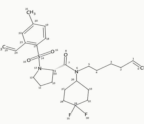 C=CCCCCN(C(=O)[C@@H]1CCCN1S(=O)(=O)c1ccc(C)cc1C=C)C1CCC(F)(F)CC1